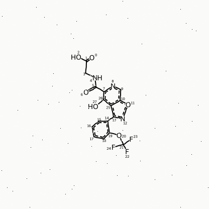 O=C(O)CNC(=O)c1ncc2onc(-c3ccccc3OC(F)(F)F)c2c1O